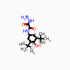 CCCC(C)(C)c1cc(NC(=O)C(=O)NN)cc(C(C)(C)CCC)c1O